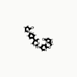 Cc1nc(Nc2cnc3c(c2)N2C(=O)CC[C@H]2CO3)ncc1-c1ccc(N2CCCC2=O)cc1